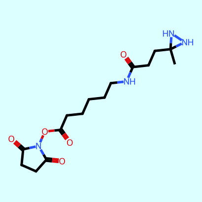 CC1(CCC(=O)NCCCCCC(=O)ON2C(=O)CCC2=O)NN1